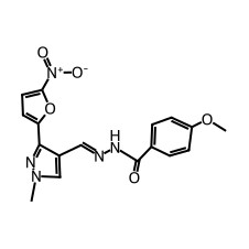 COc1ccc(C(=O)NN=Cc2cn(C)nc2-c2ccc([N+](=O)[O-])o2)cc1